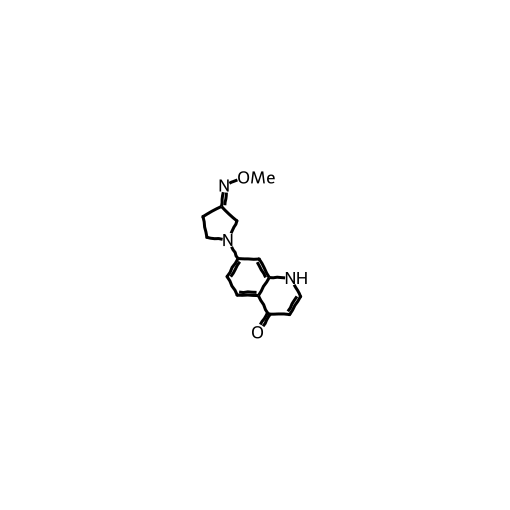 CON=C1CCN(c2ccc3c(=O)cc[nH]c3c2)C1